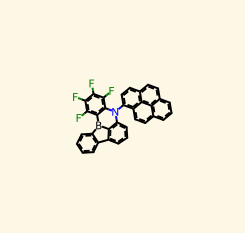 Fc1c(F)c(F)c2c(c1F)B1c3ccccc3-c3cccc(c31)N2c1ccc2ccc3cccc4ccc1c2c34